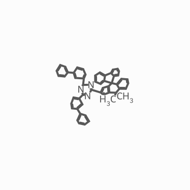 CC1(C)c2ccccc2C2(c3ccccc3-c3ccccc32)c2cc(-c3nc(-c4cccc(-c5ccccc5)c4)nc(-c4cccc(-c5ccccc5)c4)n3)ccc21